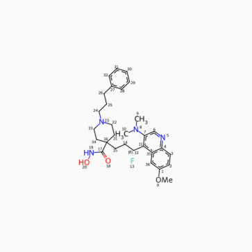 COc1ccc2ncc(N(C)C)c([C@H](F)CCC3(C(=O)NO)CCN(CCCc4ccccc4)CC3)c2c1